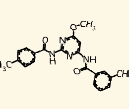 COc1cc(NC(=O)c2cccc(C)c2)nc(NC(=O)c2ccc(C)cc2)n1